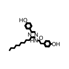 CCCCCCCCCc1nc(-c2ccc(O)cc2)cnc1NC(=O)Cc1ccc(O)cc1